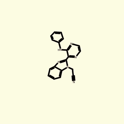 N#CCn1c(-c2nccnc2Nc2ccccc2)nc2ccccc21